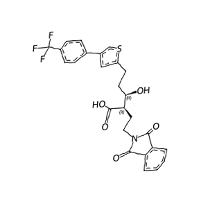 O=C(O)[C@H](CCN1C(=O)c2ccccc2C1=O)[C@H](O)CCc1cc(-c2ccc(C(F)(F)F)cc2)cs1